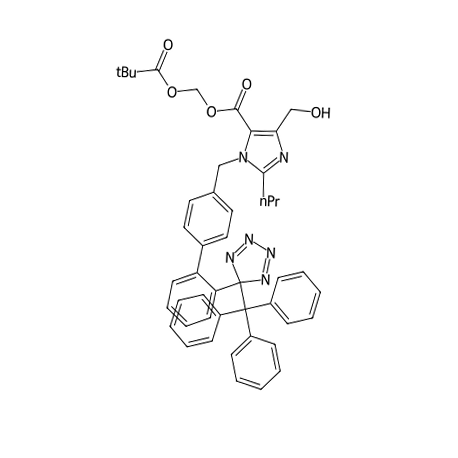 CCCc1nc(CO)c(C(=O)OCOC(=O)C(C)(C)C)n1Cc1ccc(-c2ccccc2C2(C(c3ccccc3)(c3ccccc3)c3ccccc3)N=NN=N2)cc1